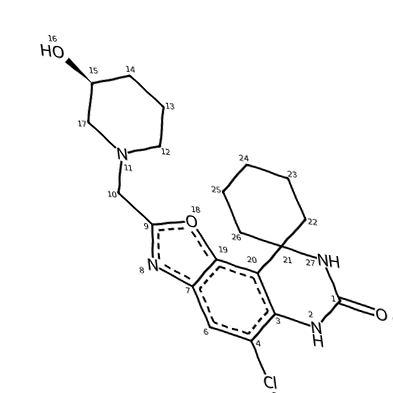 O=C1Nc2c(Cl)cc3nc(CN4CCC[C@H](O)C4)oc3c2C2(CCCCC2)N1